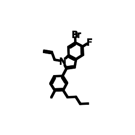 C=CCn1c(-c2ccc(C)c(CCCC)c2)cc2cc(F)c(Br)cc21